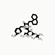 CCC(C)C(NC(=O)OC(C)(C)C)C(=O)NC(CC1CCCC2CCCCC21)C(=O)NCc1ccc(N)nc1